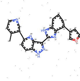 Cc1ccncc1-c1ccc2[nH]nc(-c3nc4c(-c5ccoc5)cccc4[nH]3)c2n1